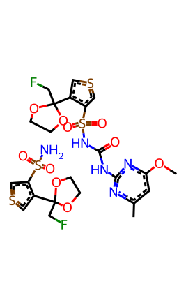 COc1cc(C)nc(NC(=O)NS(=O)(=O)c2cscc2C2(CF)OCCO2)n1.NS(=O)(=O)c1cscc1C1(CF)OCCO1